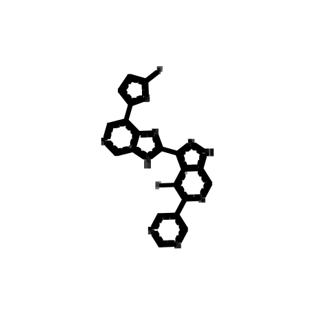 Fc1ccc(-c2cncc3[nH]c(-c4n[nH]c5cnc(-c6cncnc6)c(F)c45)nc23)s1